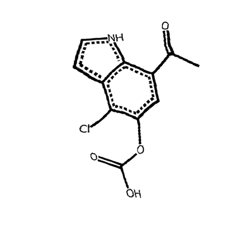 CC(=O)c1cc(OC(=O)O)c(Cl)c2cc[nH]c12